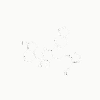 N#Cc1cccn1CCC(NS(=O)(=O)c1cccc2[nH]ccc12)C(=O)N1CCc2sccc2C1